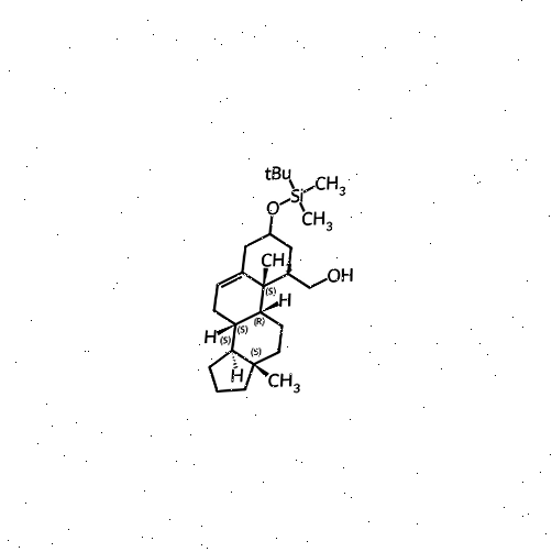 CC(C)(C)[Si](C)(C)OC1CC2=CC[C@@H]3[C@@H](CC[C@]4(C)CCC[C@@H]34)[C@@]2(C)C(CO)C1